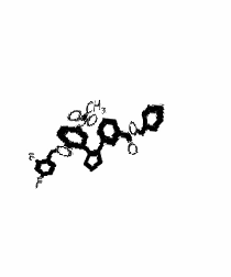 CS(=O)(=O)c1ccc(OCc2ccc(F)cc2F)c(C2=C(c3cccc(C(=O)OCc4ccccc4)c3)CCC2)c1